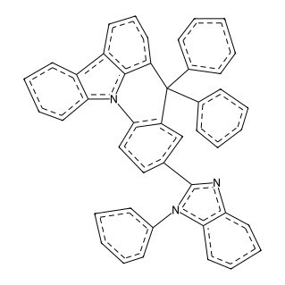 c1ccc(-n2c(-c3ccc4c(c3)C(c3ccccc3)(c3ccccc3)c3cccc5c6ccccc6n-4c35)nc3ccccc32)cc1